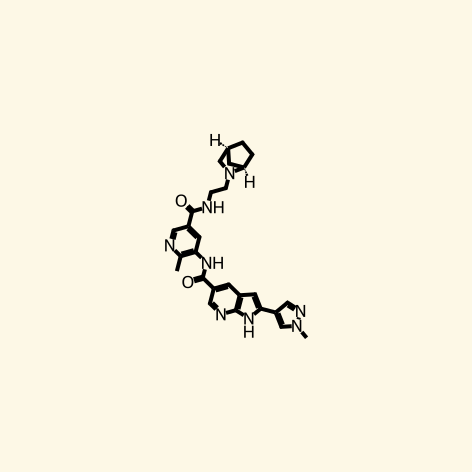 Cc1ncc(C(=O)NCCN2C[C@H]3CC[C@@H]2C3)cc1NC(=O)c1cnc2[nH]c(-c3cnn(C)c3)cc2c1